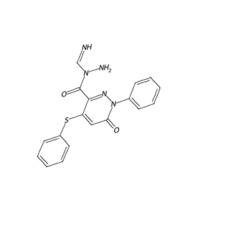 N=CN(N)C(=O)c1nn(-c2ccccc2)c(=O)cc1Sc1ccccc1